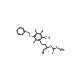 C=C[C@@](C)(CCc1c(C)c(OCc2ccccc2)c(C)c(C)c1O)OC(=O)OC(C)(C)C